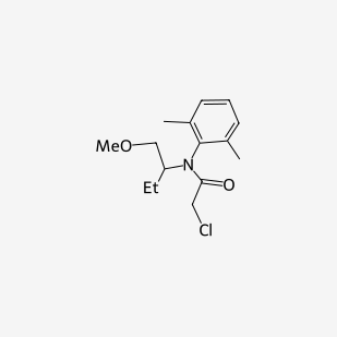 CCC(COC)N(C(=O)CCl)c1c(C)cccc1C